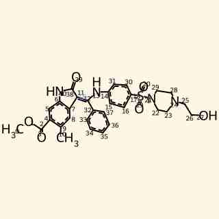 COC(=O)c1cc2c(cc1C)/C(=C(/Nc1ccc(S(=O)(=O)N3CCN(CCO)CC3)cc1)c1ccccc1)C(=O)N2